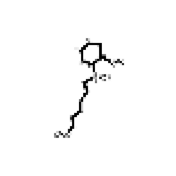 CCCCCCCCCCCCCCCC[S@+]([O-])C1CCCCC1OC(C)=O